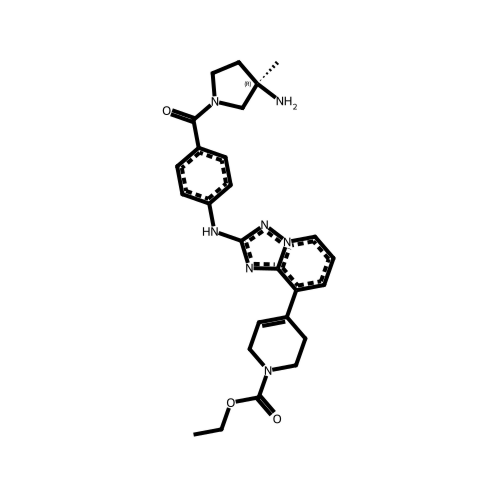 CCOC(=O)N1CC=C(c2cccn3nc(Nc4ccc(C(=O)N5CC[C@@](C)(N)C5)cc4)nc23)CC1